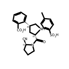 Cc1ccc(S(=O)(=O)O)cc1.N#C[C@@H]1CCCN1C(=O)[C@@H]1C[C@H](c2ccccc2C(=O)O)CN1